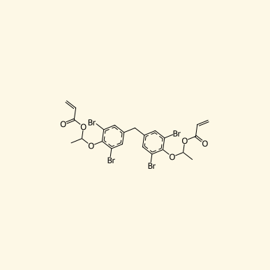 C=CC(=O)OC(C)Oc1c(Br)cc(Cc2cc(Br)c(OC(C)OC(=O)C=C)c(Br)c2)cc1Br